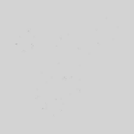 C=CC[C@H](C(=O)N1CCSC[C@H]1C(=O)OC(CCc1ccc(C)c(C)c1)c1cccc(OCCN2CCOCC2)c1)c1cc(C)c(OC)c(OC)c1